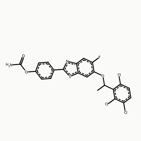 CC(Oc1cc2sc(-c3ccc(OC(N)=O)cc3)nc2cc1F)c1c(Cl)ccc(Cl)c1Cl